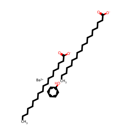 CCCCCCCCCCCCCCCCCC(=O)[O-].CCCCCCCCCCCCCCCCCC(=O)[O-].Oc1ccccc1.[Ba+2]